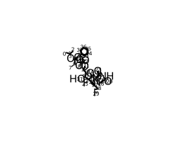 CC(C)OC(=O)[C@H](C)O[P@](=O)(OCC1OC(n2ncc(=O)[nH]c2=O)C(F)(C#CCF)C1O)Oc1ccccc1